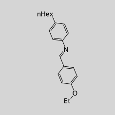 CCCCCCc1ccc(/N=C/c2ccc(OCC)cc2)cc1